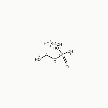 O=P(O)(O)OCO.O=S(=O)(O)O